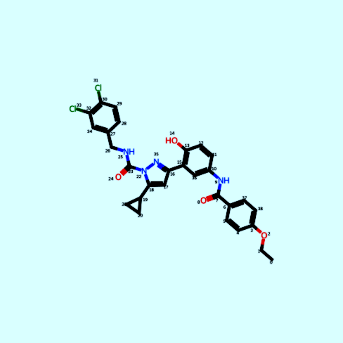 CCOc1ccc(C(=O)Nc2ccc(O)c(-c3cc(C4CC4)n(C(=O)NCc4ccc(Cl)c(Cl)c4)n3)c2)cc1